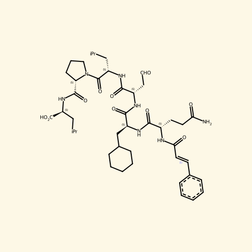 CC(C)C[C@H](NC(=O)[C@@H]1CCCN1C(=O)[C@H](CC(C)C)NC(=O)[C@H](CC=O)NC(=O)[C@H](CC1CCCCC1)NC(=O)[C@H](CCC(N)=O)NC(=O)/C=C/c1ccccc1)C(=O)O